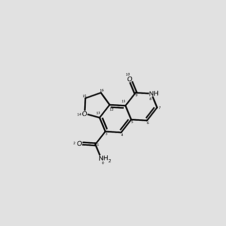 NC(=O)c1cc2cc[nH]c(=O)c2c2c1OCC2